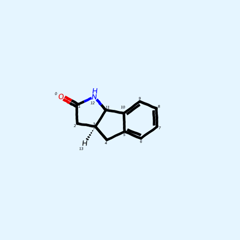 O=C1C[C@@H]2Cc3ccccc3C2N1